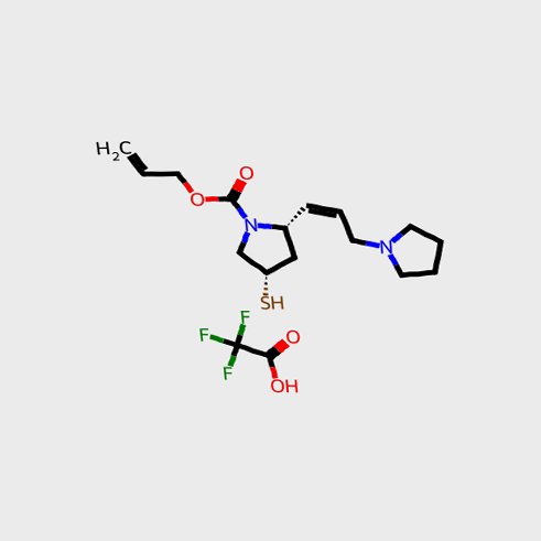 C=CCOC(=O)N1C[C@@H](S)C[C@H]1/C=C\CN1CCCC1.O=C(O)C(F)(F)F